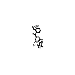 C[C@H]1CN(C(=O)c2cccc3[nH]ncc23)Cc2onc(C(C)(O)C(F)(F)F)c21